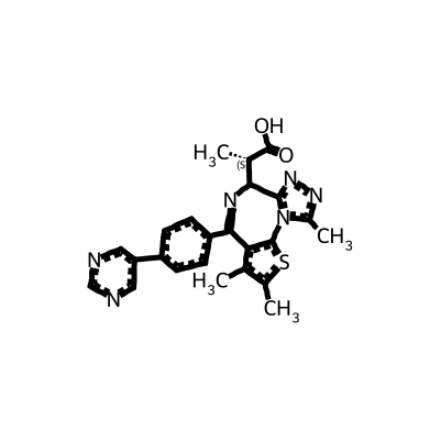 Cc1sc2c(c1C)C(c1ccc(-c3cncnc3)cc1)=NC([C@H](C)C(=O)O)c1nnc(C)n1-2